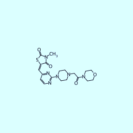 CN1C(=O)SC(=Cc2ccnc(N3CCN(CC(=O)N4CCOCC4)CC3)n2)C1=O